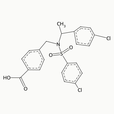 CC(c1ccc(Cl)cc1)N(Cc1ccc(C(=O)O)cc1)S(=O)(=O)c1ccc(Cl)cc1